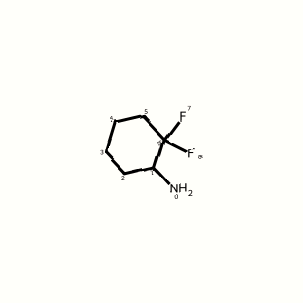 NC1CC[CH]CC1(F)F